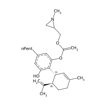 C=C(OCC1CN1C)Oc1cc(CCCCC)cc(O)c1[C@@H]1C=C(C)CC[C@H]1C(=C)C